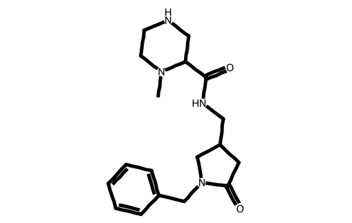 CN1CCNCC1C(=O)NCC1CC(=O)N(Cc2ccccc2)C1